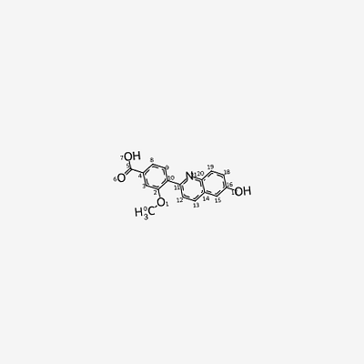 COc1cc(C(=O)O)ccc1-c1ccc2cc(O)ccc2n1